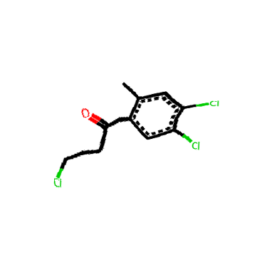 Cc1cc(Cl)c(Cl)cc1C(=O)CCCl